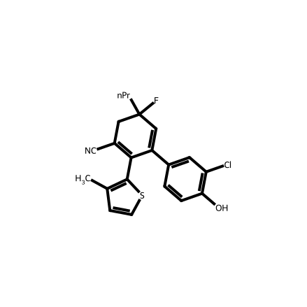 CCCC1(F)C=C(c2ccc(O)c(Cl)c2)C(c2sccc2C)=C(C#N)C1